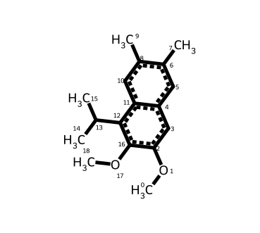 COc1cc2cc(C)c(C)cc2c(C(C)C)c1OC